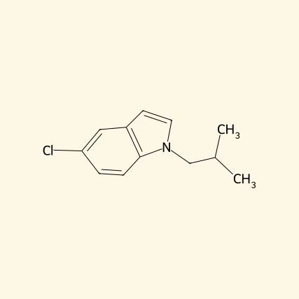 CC(C)Cn1ccc2cc(Cl)ccc21